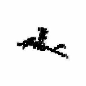 Cc1c(S(=O)(=O)NCP(=O)(O)Oc2ccc(C#N)c(F)c2)sc2ccc(OCCCN(CCCN)CCCCN)cc12.O=C(O)C(F)(F)F.O=C(O)C(F)(F)F